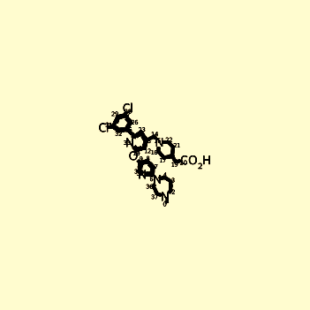 CN1CCCN(c2ccc(Oc3cc(CN4CCC(CC(=O)O)CC4)cc(-c4cc(Cl)cc(Cl)c4)n3)cn2)CC1